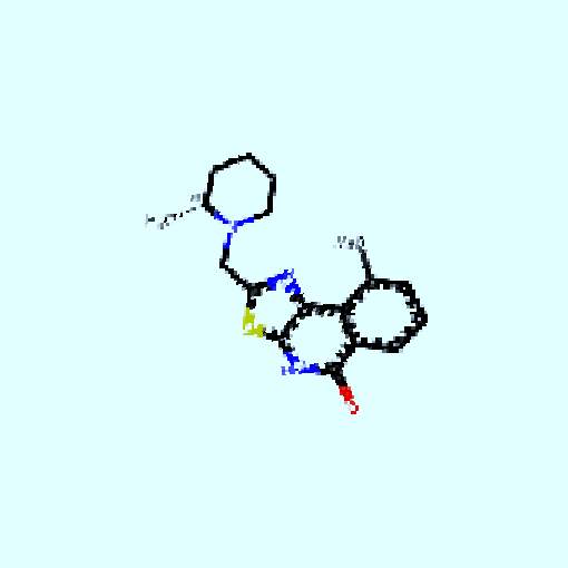 COc1cccc2c(=O)[nH]c3sc(CN4CCCC[C@H]4C)nc3c12